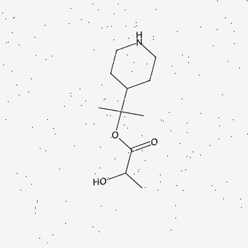 CC(O)C(=O)OC(C)(C)C1CCNCC1